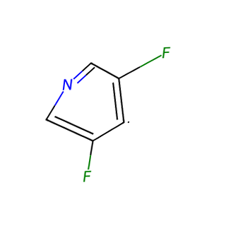 Fc1[c]c(F)cnc1